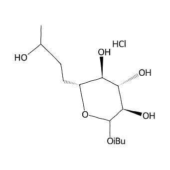 CC(C)COC1O[C@H](CCC(C)O)[C@@H](O)[C@H](O)[C@H]1O.Cl